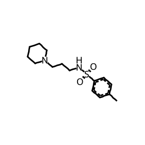 Cc1ccc(S(=O)(=O)NCCCN2CCCCC2)cc1